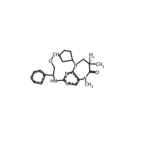 COCC(Nc1ncc2c(n1)N(C1CCCC1)CC(C)(C)C(=O)N2C)c1ccccc1